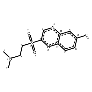 CN(C)CCS(=O)(=O)c1cnc2cc(Cl)ccc2n1